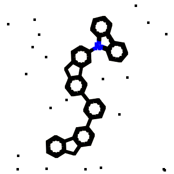 c1cc(-c2ccc3c(c2)-c2ccccc2C3)cc(-c2ccc3c(c2)-c2cc(-n4c5ccccc5c5ccccc54)ccc2C3)c1